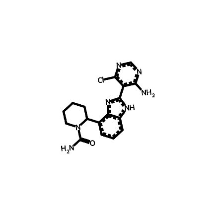 NC(=O)N1CCCCC1c1cccc2[nH]c(-c3c(N)ncnc3Cl)nc12